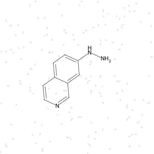 NNc1ccc2ccncc2c1